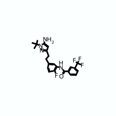 CC(C)(C)n1nc(CCc2ccc(F)c(NC(=O)c3cccc(C(F)(F)F)c3)c2)cc1N